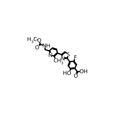 COC(=O)NCc1ccc(-c2csc(-c3cc(O)c(C(=O)O)cc3F)n2)c(C)n1